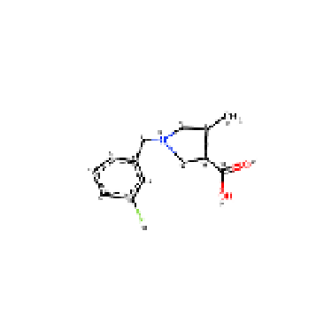 CC1CN(Cc2cccc(F)c2)CC1C(=O)O